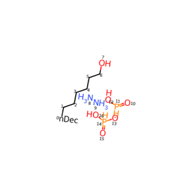 CCCCCCCCCCCCCCCCO.N.N.O=[PH](O)O[PH](=O)O